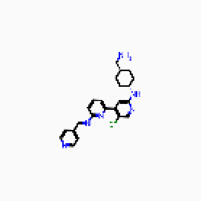 NC[C@H]1CC[C@H](Nc2cc(-c3cccc(NCc4ccncc4)n3)c(Cl)cn2)CC1